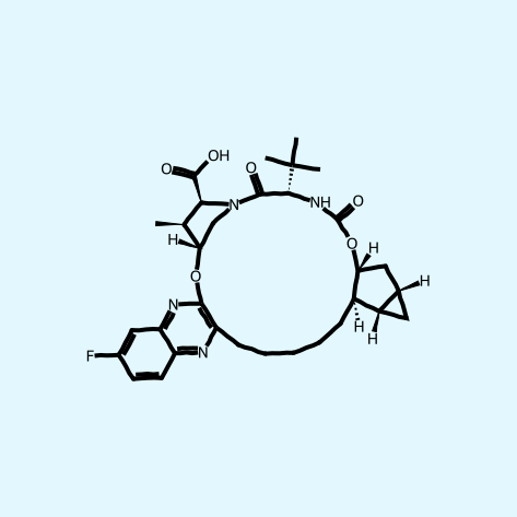 C[C@@H]1[C@@H]2CN(C(=O)[C@H](C(C)(C)C)NC(=O)O[C@@H]3C[C@@H]4C[C@@H]4[C@H]3CCCCCc3nc4ccc(F)cc4nc3O2)[C@@H]1C(=O)O